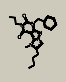 CCCCc1cn2nc3c(c(=O)n(CCC)c(=O)n3Cc3ccccc3)c2n1C